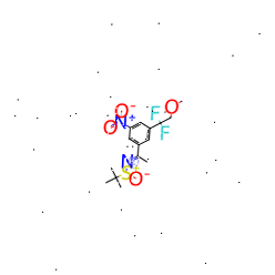 COCC(F)(F)c1cc(/C(C)=N/[S+]([O-])C(C)(C)C)cc([N+](=O)[O-])c1